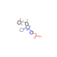 Cc1cccc(C)c1Oc1cc2c(N3CCCCC3)nc(-n3cc(OC(=O)O)cn3)nc2cc1F